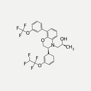 C[C@H](O)CN1c2cccc(-c3cccc(OC(F)(F)F)c3)c2OC[C@@H]1C1C=C(OC(F)(F)C(F)F)C=CC1